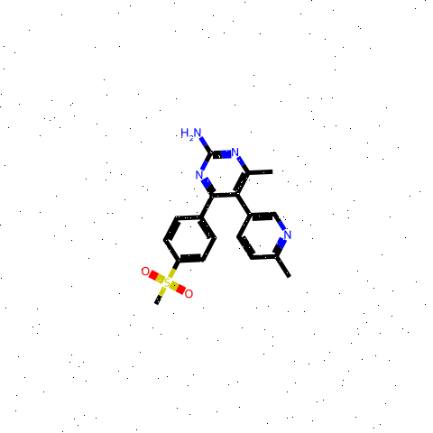 Cc1ccc(-c2c(C)nc(N)nc2-c2ccc(S(C)(=O)=O)cc2)cn1